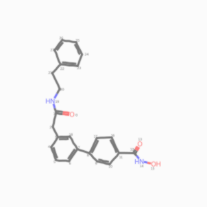 O=C(Cc1cccc(-c2ccc(C(=O)NO)cc2)c1)NCCc1ccccc1